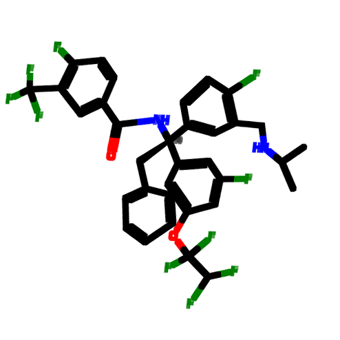 CC(C)NCc1cc([C@@](Cc2ccccc2)(NC(=O)c2ccc(F)c(C(F)(F)F)c2)c2cc(F)cc(OC(F)(F)C(F)F)c2)ccc1F